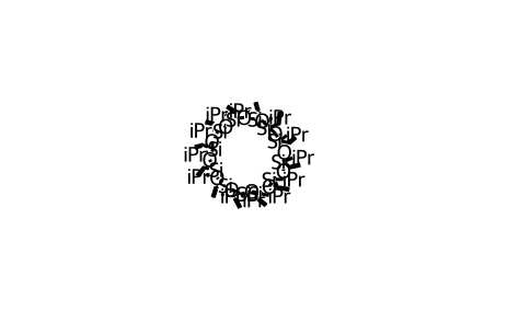 C=C[Si]1(C(C)C)O[Si](C=C)(C(C)C)O[Si](C=C)(C(C)C)O[Si](C=C)(C(C)C)O[Si](C=C)(C(C)C)O[Si](C=C)(C(C)C)O[Si](C=C)(C(C)C)O[Si](C=C)(C(C)C)O[Si](C=C)(C(C)C)O[Si](C=C)(C(C)C)O[Si](C=C)(C(C)C)O[Si](C=C)(C(C)C)O1